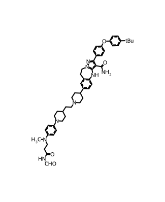 CN(CCC(=O)NC=O)c1ccc(N2CCC(CCN3CCC(c4ccc5c(c4)CCn4nc(-c6ccc(Oc7ccc(C(C)(C)C)cc7)cc6)c(C(N)=O)c4N5)CC3)CC2)cc1